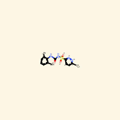 CC(C)c1cccc(C(C)C)c1NC(=O)NS(=O)(=O)c1ccc(C(F)(F)F)nn1